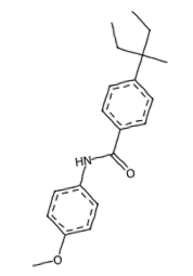 CCC(C)(CC)c1ccc(C(=O)Nc2ccc(OC)cc2)cc1